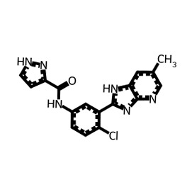 Cc1cnc2nc(-c3cc(NC(=O)c4cc[nH]n4)ccc3Cl)[nH]c2c1